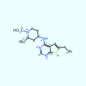 CC(C)Cc1cc2c(NC3CCN(C(=O)O)C(C(C)(C)C)C3)ncnc2s1